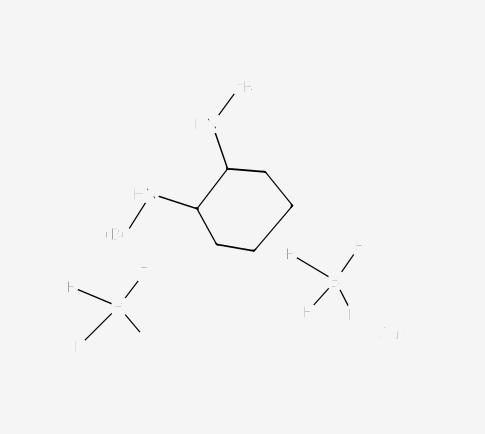 CC(C)(C)NC1CCCCC1NC(C)(C)C.F[B-](F)(F)F.F[B-](F)(F)F.[Cu+2]